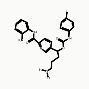 CCN(CC)CCCC(NC(=O)Nc1ccc(F)cc1)c1ccc(C(=O)Nc2ccccc2N)nc1